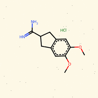 COc1cc2c(cc1OC)CC(C(=N)N)C2.Cl